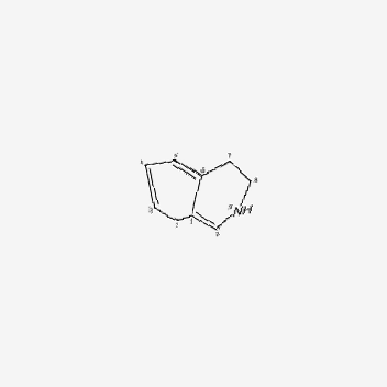 [C]1=C2CC=CC=C2CCN1